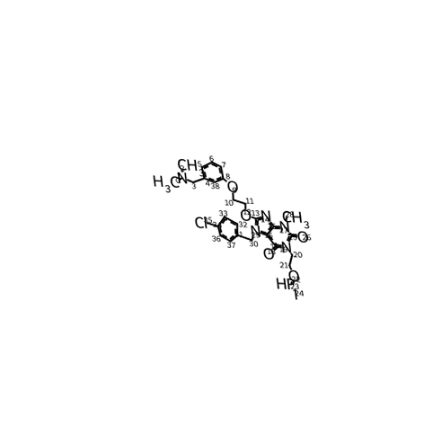 CN(C)Cc1cccc(OCCOc2nc3c(c(=O)n(CCOPI)c(=O)n3C)n2Cc2ccc(Cl)cc2)c1